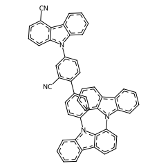 N#Cc1cc(-n2c3ccccc3c3c(C#N)cccc32)ccc1-c1ccc(-n2c3ccccc3c3cccc(-n4c5ccccc5c5ccccc54)c32)cc1